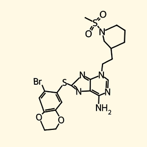 CS(=O)(=O)N1CCCC(CCn2cnc(N)c3nc(Sc4cc5c(cc4Br)OCCO5)nc2-3)C1